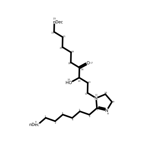 CCCCCCCCCCCCCCCCC1=NCCN1CCC(O)C(=O)CCCCCCCCCCCCCCC